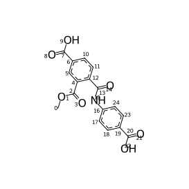 COC(=O)c1cc(C(=O)O)ccc1C(=O)Nc1ccc(C(=O)O)cc1